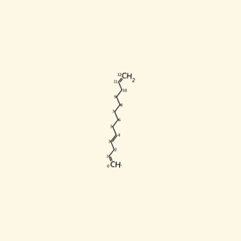 [CH]=CCC=CCCCCCCC=C